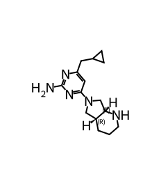 Nc1nc(CC2CC2)cc(N2C[C@H]3CCCN[C@H]3C2)n1